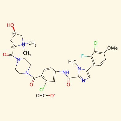 COc1ccc(-c2cnc(C(=O)Nc3ccc(C(=O)N4CCN(C(=O)[C@@H]5C[C@@H](O)C[N+]5(C)C)CC4)c(Cl)c3)n2C)c(F)c1Cl.O=C[O-]